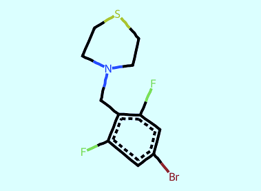 Fc1cc(Br)cc(F)c1CN1CCSCC1